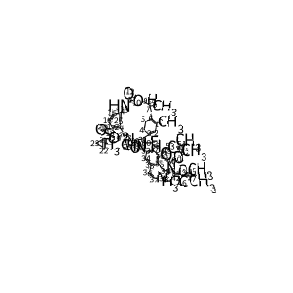 Cc1cc2ccc1[C@@H](C)COC(=O)Nc1ccc(S(=O)(=O)C3CC3)c(c1)CN(C)C(=O)[C@@H]2Nc1cc2ccnc(N(C(=O)OC(C)(C)C)C(=O)OC(C)(C)C)c2cc1F